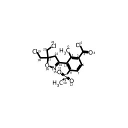 Cc1c(C(=O)Cl)ccc(S(C)(=O)=O)c1C1=NOC(CCl)(CCl)C1